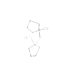 NC1(OC2(N)CCCC2)CCCC1